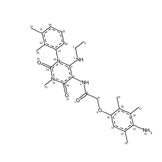 CCNc1c(NC(=O)COc2cc(C)c(N)c(C)c2C)c(=O)n(C)c(=O)n1-c1cccc(C)c1C